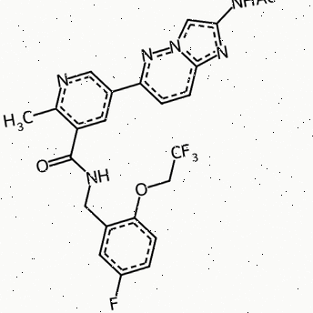 CC(=O)Nc1cn2nc(-c3cnc(C)c(C(=O)NCc4cc(F)ccc4OCC(F)(F)F)c3)ccc2n1